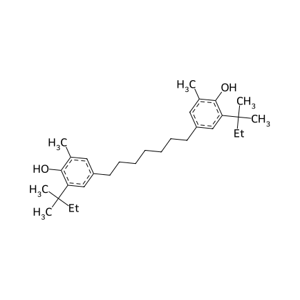 CCC(C)(C)c1cc(CCCCCCCc2cc(C)c(O)c(C(C)(C)CC)c2)cc(C)c1O